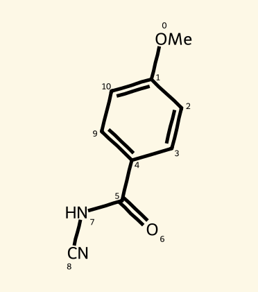 COc1ccc(C(=O)NC#N)cc1